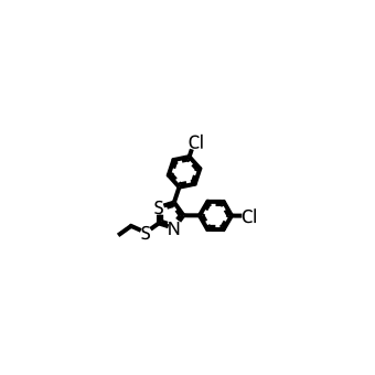 CCSc1nc(-c2ccc(Cl)cc2)c(-c2ccc(Cl)cc2)s1